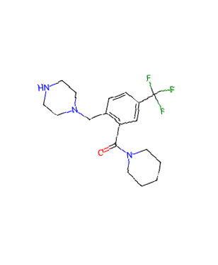 O=C(c1cc(C(F)(F)F)ccc1CN1CCNCC1)N1CCCCC1